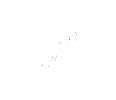 COC(=O)N[C@H](C(=O)N1CCC[C@H]1c1ncc(C2=CC3SC(c4ccc5nc([C@@H]6CCCN6C(=O)[C@@H](NC(=O)OC)C(C)C)[nH]c5c4)=CC3S2)[nH]1)C(C)C